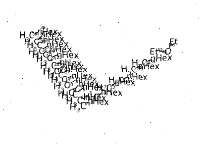 CCCCCCC.CCCCCCC.CCCCCCC.CCCCCCC.CCCCCCC.CCCCCCC.CCCCCCC.CCCCCCC.CCCCCCC.CCCCCCC.CCCCCCC.CCCCCCC.CCCCCCC.CCCCCCC.CCCCCCC.CCCCCCC.CCCCCCC.CCCCCCC.CCCCCCC.CCCCCCC.CCOCC